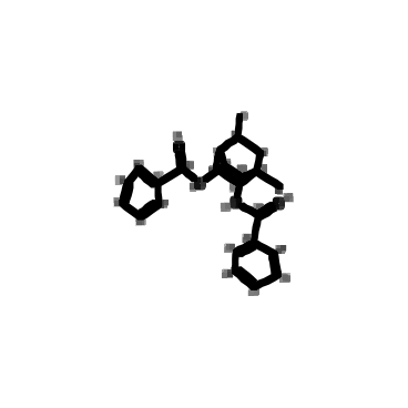 CC1CC2(C)CCC1C(OC(=O)c1ccccc1)C2OC(=O)c1ccccc1